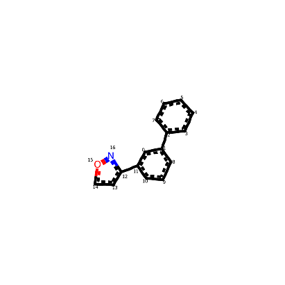 [c]1c(-c2ccccc2)cccc1-c1ccon1